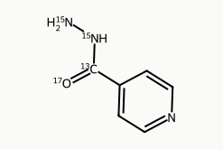 [15NH2][15NH][13C](=[17O])c1ccncc1